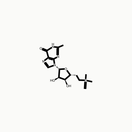 C=P(C)(C)CC[C@H]1O[C@@H](n2cnc3c(=O)[nH]c(C)nc32)[C@H](O)[C@@H]1O